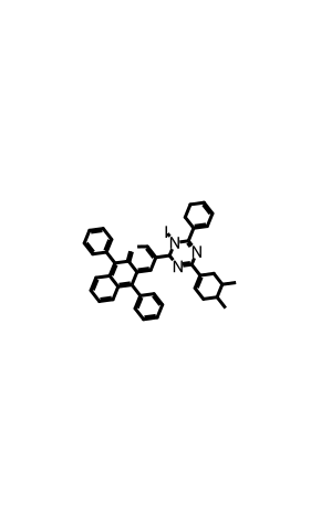 C=c1c(-c2ccccc2)c2ccccc2c(-c2ccccc2)/c1=C/C(=C\C)C1N=C(C2=CCC(C)C(C)C2)N=C(C2=CC=CCC2)N1I